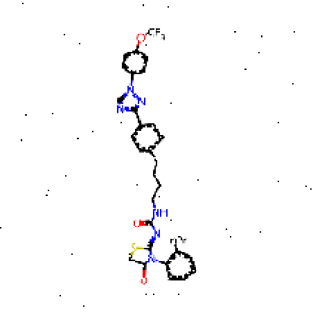 CCCc1ccccc1N1C(=O)CS/C1=N\C(=O)NCCCCc1ccc(-c2ncn(-c3ccc(OC(F)(F)F)cc3)n2)cc1